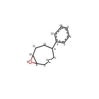 c1ccc(C2CCCC3OC3CC2)cc1